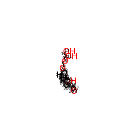 C[C@]12CC[C@H](OCCOCC(O)CO)C[C@H]1CC[C@@H]1[C@@H]2CC[C@]2(C)[C@@H](c3ccoc3)CC[C@]12O